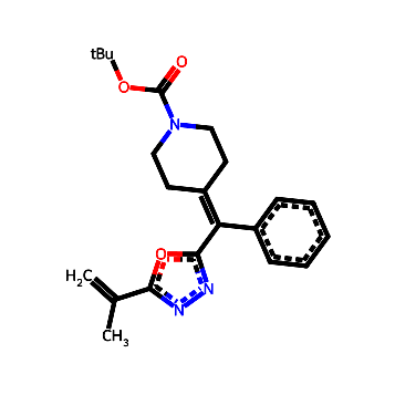 C=C(C)c1nnc(C(=C2CCN(C(=O)OC(C)(C)C)CC2)c2ccccc2)o1